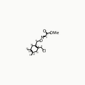 COC(=O)C=NOCC1=C(CCl)CC(C)=C(C)C1